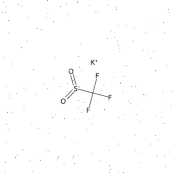 O=[S-](=O)C(F)(F)F.[K+]